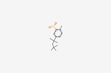 Cc1ccc(C(C)(C)CC(C)(C)C)cc1[SH](=O)=O